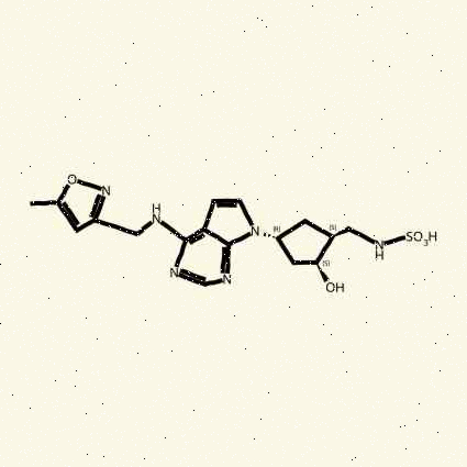 Cc1cc(CNc2ncnc3c2ccn3[C@@H]2C[C@@H](CNS(=O)(=O)O)[C@@H](O)C2)no1